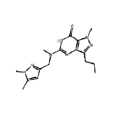 CCCc1nn(C)c2c(=O)[nH]c(N(C)Cc3cc(C)n(C)n3)nc12